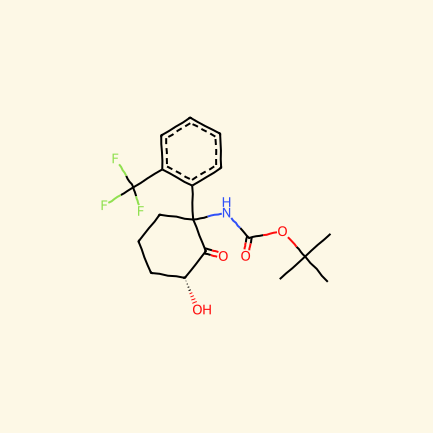 CC(C)(C)OC(=O)NC1(c2ccccc2C(F)(F)F)CCC[C@@H](O)C1=O